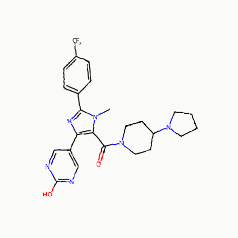 Cn1c(-c2ccc(C(F)(F)F)cc2)nc(-c2cnc(O)nc2)c1C(=O)N1CCC(N2CCCC2)CC1